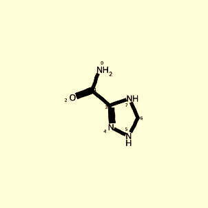 NC(=O)C1=NNCN1